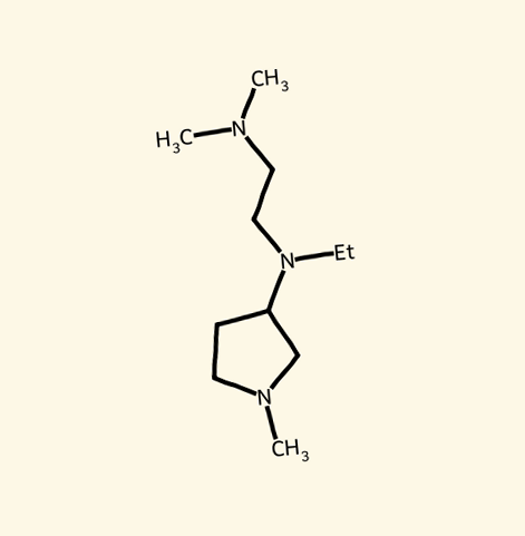 CCN(CCN(C)C)C1CCN(C)C1